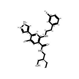 CC[C@@H](CO)CNC(=O)c1cc(F)c(-c2cn[nH]c2)nc1NCCc1cccc(F)c1